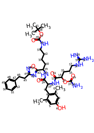 Cc1cc(O)cc(C)c1CC(NC(=O)C(CCCNC(=N)N)OC(N)=O)C(=O)NC(CCCCNC(=O)OC(C)(C)C)c1nc(CCc2ccccc2)no1